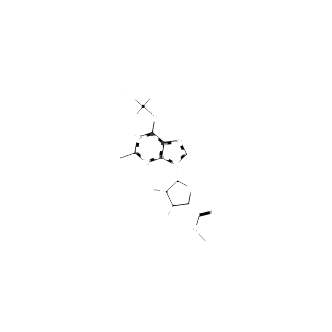 [2H]C([2H])([2H])Nc1nc(Cl)nc2c1ncn2[C@@H]1O[C@H](C(=O)NC)[C@@H](O)[C@H]1O